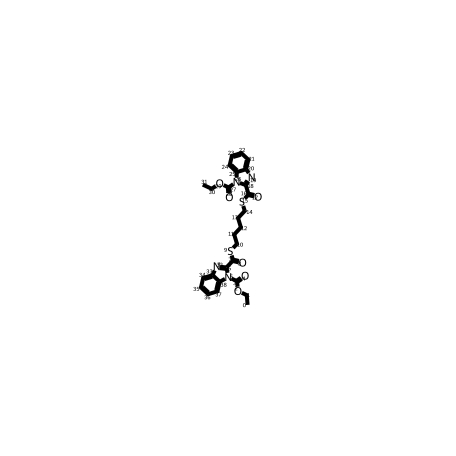 CCOC(=O)n1c(C(=O)SCCCCCSC(=O)c2nc3ccccc3n2C(=O)OCC)nc2ccccc21